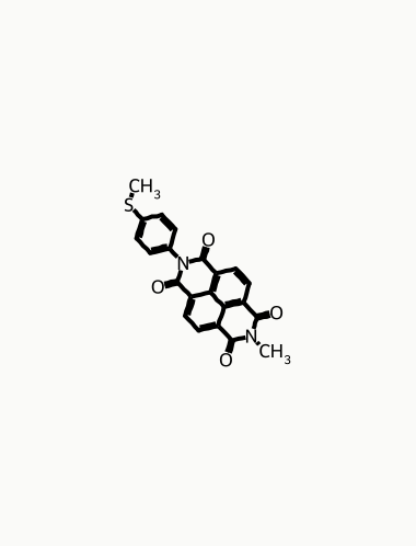 CSc1ccc(N2C(=O)c3ccc4c5c(ccc(c35)C2=O)C(=O)N(C)C4=O)cc1